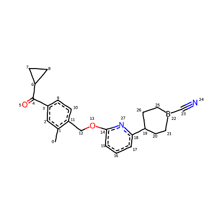 Cc1cc(C(=O)C2CC2)ccc1COc1cccc(C2CCB(C#N)CC2)n1